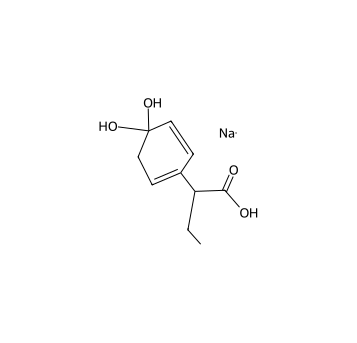 CCC(C(=O)O)C1=CCC(O)(O)C=C1.[Na]